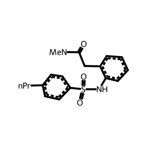 CCCc1ccc(S(=O)(=O)Nc2ccccc2CC(=O)NC)cc1